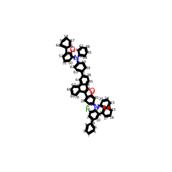 Fc1cc(-c2ccccc2)cc(-c2ccccc2)c1N(c1ccccc1)c1ccc2c(c1)oc1c3ccc(-c4ccc(N(c5ccccc5)c5cccc6c5oc5ccccc56)cc4)cc3c3ccccc3c21